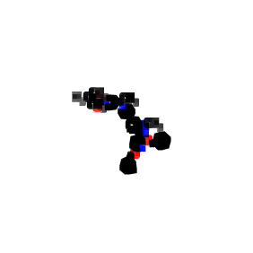 CC(C1CCN(C(=O)OC(C)(C)C)CC1)N1CC=C(c2ccc3c(-c4ccc(OCc5ccccc5)nc4OCc4ccccc4)nn(C)c3c2)CC1